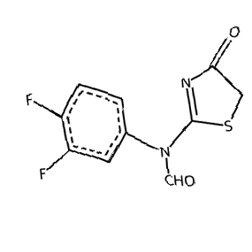 O=CN(C1=NC(=O)CS1)c1ccc(F)c(F)c1